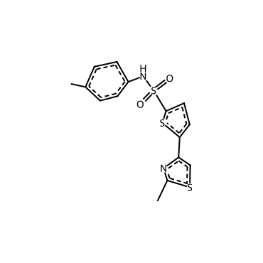 Cc1ccc(NS(=O)(=O)c2ccc(-c3csc(C)n3)s2)cc1